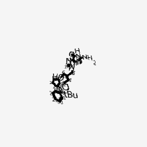 CC(C)(C)[Si](OCCC(CO)Cn1cnc2c(=O)[nH]c(N)nc21)(c1ccccc1)c1ccccc1